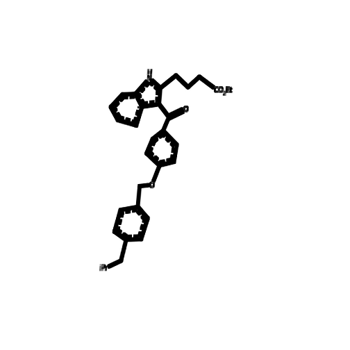 CCOC(=O)CCCc1[nH]c2ccccc2c1C(=O)c1ccc(OCc2ccc(CC(C)C)cc2)cc1